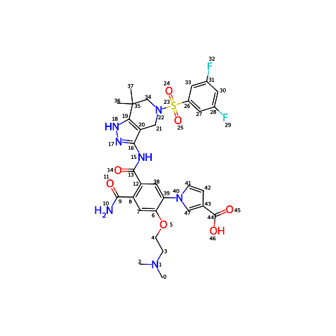 CN(C)CCOc1cc(C(N)=O)c(C(=O)Nc2n[nH]c3c2CN(S(=O)(=O)c2cc(F)cc(F)c2)CC3(C)C)cc1-n1ccc(C(=O)O)c1